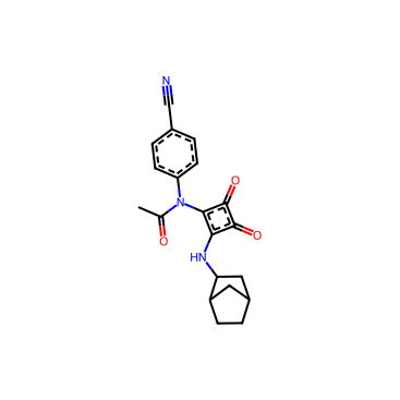 CC(=O)N(c1ccc(C#N)cc1)c1c(NC2CC3CCC2C3)c(=O)c1=O